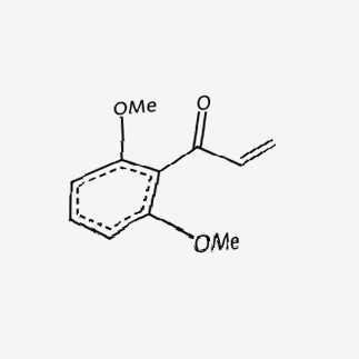 C=CC(=O)c1c(OC)cccc1OC